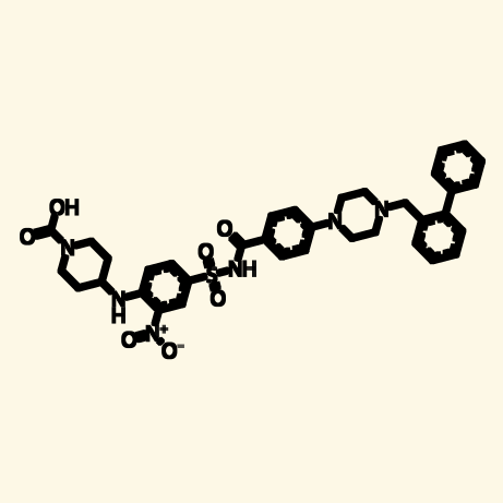 O=C(NS(=O)(=O)c1ccc(NC2CCN(C(=O)O)CC2)c([N+](=O)[O-])c1)c1ccc(N2CCN(Cc3ccccc3-c3ccccc3)CC2)cc1